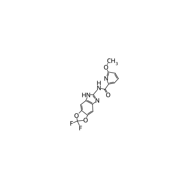 COc1cccc(C(=O)Nc2nc3cc4c(cc3[nH]2)OC(F)(F)O4)n1